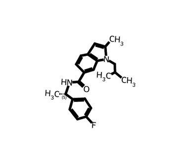 Cc1cc2ccc(C(=O)N[C@@H](C)c3ccc(F)cc3)cc2n1CC(C)C